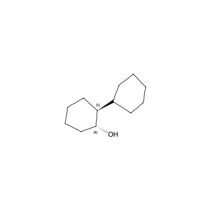 O[C@@H]1CCCC[C@H]1C1CCCCC1